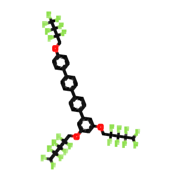 FC(F)C(F)(F)C(F)(F)C(F)(F)COc1cc(OCC(F)(F)C(F)(F)C(F)(F)C(F)F)cc(-c2ccc(-c3ccc(-c4ccc(OCC(F)(F)C(F)(F)C(F)(F)F)cc4)cc3)cc2)c1